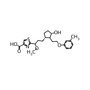 COC(CC[C@H]1CC[C@@H](O)C1CCOc1cccc(C)c1)c1nc(C(=O)O)cs1